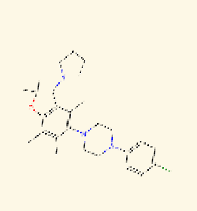 Cc1c(C)c(N2CCN(c3ccc(F)cc3)CC2)c(C)c2c1OC(C)(C)C2N1CCCC1